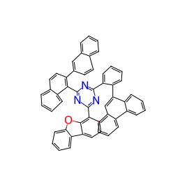 c1ccc(-c2cc3ccccc3c3ccccc23)c(-c2nc(-c3c(-c4ccc5ccccc5c4)ccc4ccccc34)nc(-c3cccc4c3oc3ccccc34)n2)c1